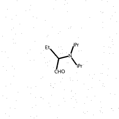 CCC(C=O)N(C(C)C)C(C)C